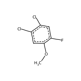 COc1cc(Cl)c(Cl)cc1F